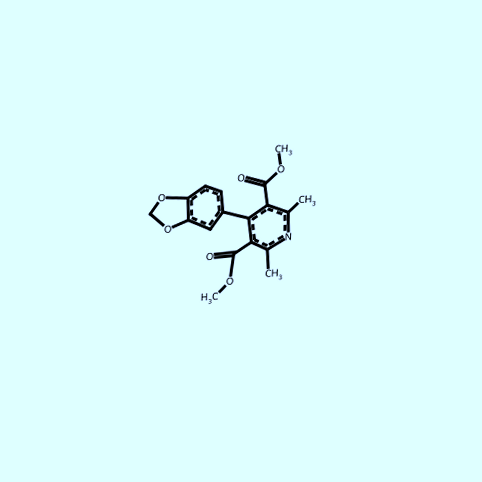 COC(=O)c1c(C)nc(C)c(C(=O)OC)c1-c1ccc2c(c1)OCO2